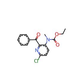 CCOC(=O)N(C)c1ccc(Cl)nc1C(=O)c1ccccc1